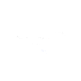 CCCC(N)[SiH]OCC